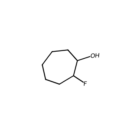 OC1CCCCCC1F